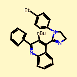 CCCCc1c(-c2ccccc2)nc2ccccc2c1C1=NCCN1c1ccc(CC)cc1